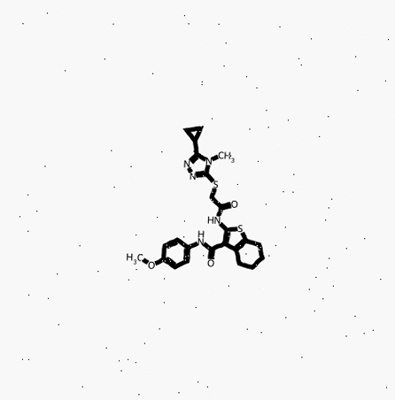 COc1ccc(NC(=O)c2c(NC(=O)CSc3nnc(C4CC4)n3C)sc3c2CCCC3)cc1